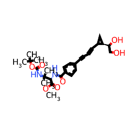 COC(=O)[C@@H](NC(=O)c1ccc(C#CC#CC2C[C@H]2C(O)CO)cc1)C(C)(C)NC(=O)OC(C)(C)C